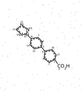 O=C(O)c1ccc(-c2ccc(-n3ncnn3)cc2)cc1